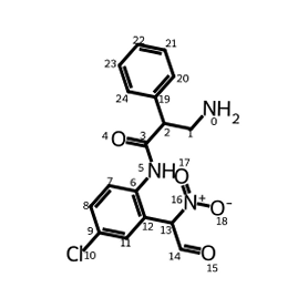 NCC(C(=O)Nc1ccc(Cl)cc1C(C=O)[N+](=O)[O-])c1ccccc1